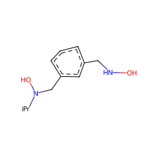 CC(C)N(O)Cc1cccc(CNO)c1